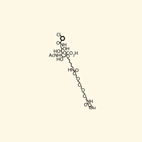 CC(=O)N[C@H]1[C@H]([C@H](O)[C@H](O)CNC(=O)c2cccc(Cl)c2)O[C@@](OCCCCCCNC(=O)OCCOCCOCCOCCOCCNC(=O)OC(C)(C)C)(C(=O)O)C[C@@H]1O